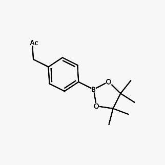 CC(=O)Cc1ccc(B2OC(C)(C)C(C)(C)O2)cc1